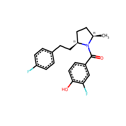 C[C@@H]1CC[C@H](CCc2ccc(F)cc2)N1C(=O)c1ccc(O)c(F)c1